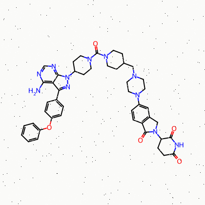 Nc1ncnc2c1c(-c1ccc(Oc3ccccc3)cc1)nn2C1CCN(C(=O)N2CCC(CN3CCN(c4ccc5c(c4)CN(C4CCC(=O)NC4=O)C5=O)CC3)CC2)CC1